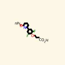 CCCOc1cccc(-c2cc(F)c(OCCCC(=O)O)c(F)c2)n1